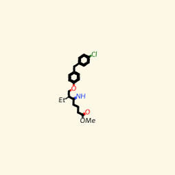 CC[C@@H](COc1ccc(Cc2ccc(Cl)cc2)cc1)C(=N)CCCC(=O)OC